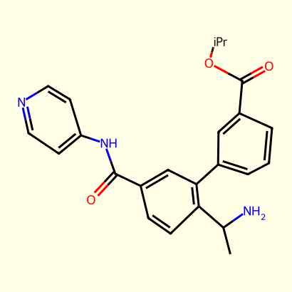 CC(C)OC(=O)c1cccc(-c2cc(C(=O)Nc3ccncc3)ccc2C(C)N)c1